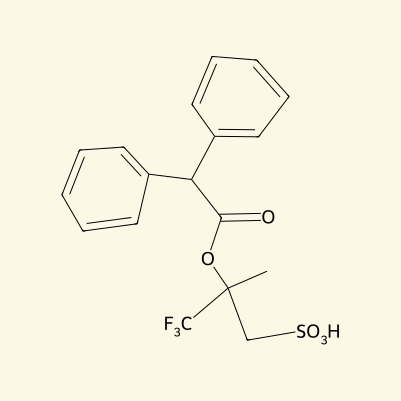 CC(CS(=O)(=O)O)(OC(=O)C(c1ccccc1)c1ccccc1)C(F)(F)F